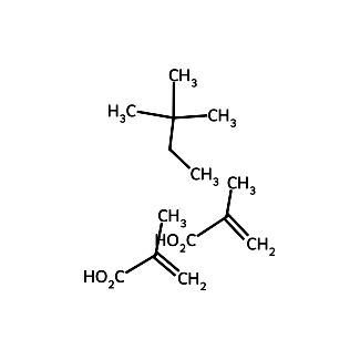 C=C(C)C(=O)O.C=C(C)C(=O)O.CCC(C)(C)C